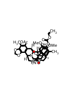 C=COC(=O)Oc1cc2c(cc1OC)[C@@]1(CS[C@@H]3c4c(OC(C)=O)c(C)c5c(c4[C@H](COC1=O)N1C3[C@@H]3c4c(cc(C)c(OC)c4O)C[C@@H]([C@@H]1C#N)N3C)OCO5)NCC2